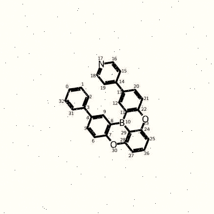 c1ccc(-c2ccc3c(c2)B2c4cc(-c5ccncc5)ccc4Oc4cccc(c42)O3)cc1